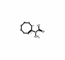 CN(C(=O)Cl)/C1=C/CCCCCC1